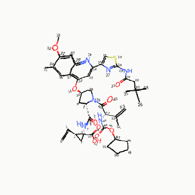 C=C[C@@H]1C[C@]1(NC(=O)[C@@H]1C[C@@H](Oc2cc(-c3csc(NC(=O)CC(C)(C)C)n3)nc3cc(OC)c(C)cc23)CN1C(=O)[C@@H](NC(=O)OC1CCCC1)C(=C)C)C(=O)O